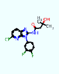 CC(C)(O)CC(=O)Nc1nc2ccc(Cl)nc2n1-c1ccc(F)c(F)c1